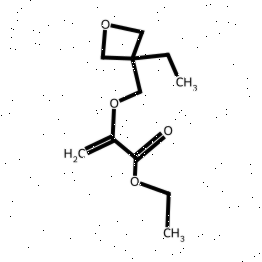 C=C(OCC1(CC)COC1)C(=O)OCC